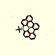 CC(C)(C)N1c2ccccc2B(c2c(-c3ccccc3)cccc2-c2ccccc2)c2ccccc21